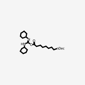 CCCCCCCCCCCCCCCCCC(=O)O/C(=N/C1CCCCC1)NC1CCCCC1